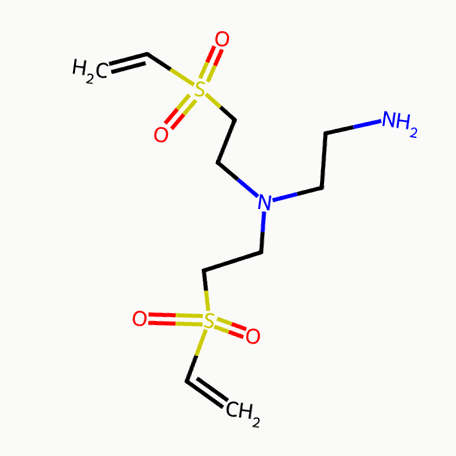 C=CS(=O)(=O)CCN(CCN)CCS(=O)(=O)C=C